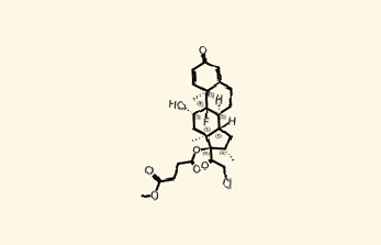 COC(=O)CCC(=O)O[C@]1(C(=O)CCl)[C@@H](C)C[C@H]2[C@@H]3CCC4=CC(=O)C=C[C@]4(C)[C@@]3(F)[C@@H](O)C[C@@]21C